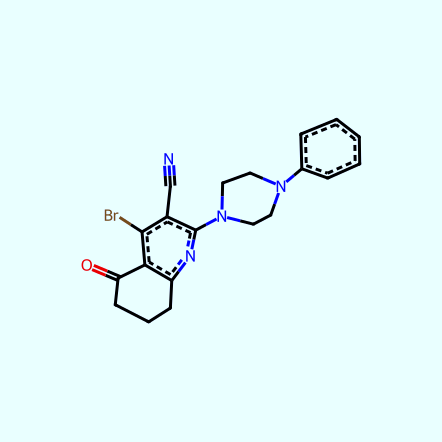 N#Cc1c(N2CCN(c3ccccc3)CC2)nc2c(c1Br)C(=O)CCC2